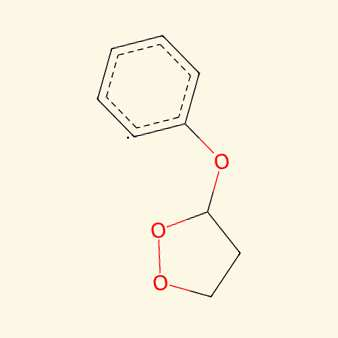 [c]1ccccc1OC1CCOO1